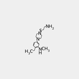 CCc1ccc(N2CCN(SCCN)CC2)cc1NC